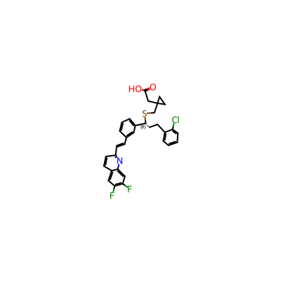 O=C(O)CC1(CS[C@H](CCc2ccccc2Cl)c2cccc(C=Cc3ccc4cc(F)c(F)cc4n3)c2)CC1